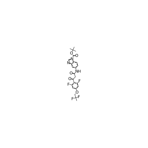 CC(F)(F)COc1cc(F)c(C(=O)CC(=O)Nc2ccc3c(c2)ncn3C(=O)OC(C)(C)C)c(F)c1